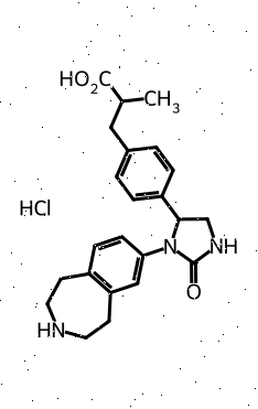 CC(Cc1ccc(C2CNC(=O)N2c2ccc3c(c2)CCNCC3)cc1)C(=O)O.Cl